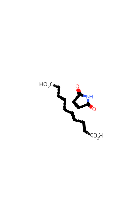 O=C(O)CCCCCCCCC(=O)O.O=C1CCC(=O)N1